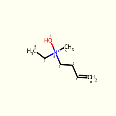 C=CCC[N+](C)(O)CC